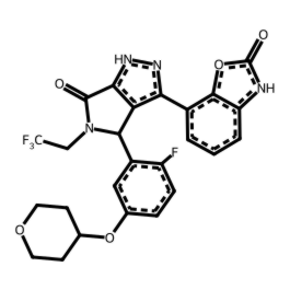 O=C1c2[nH]nc(-c3cccc4[nH]c(=O)oc34)c2C(c2cc(OC3CCOCC3)ccc2F)N1CC(F)(F)F